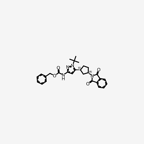 CC(C)(C)n1nc(NC(=O)OCc2ccccc2)cc1[C@H]1CC[C@@H](N2C(=O)c3ccccc3C2=O)C1